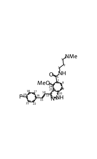 CNCCCNC(=O)c1ccc2[nH]nc(/C=C/c3ccc(F)cc3)c2c1OC